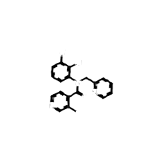 Cc1cnccc1C(=O)N(Cc1ccccn1)c1cccc(Cl)c1Cl